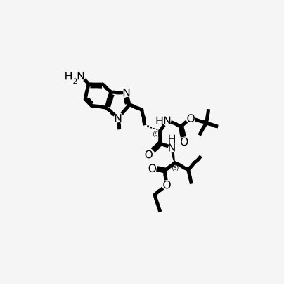 CCOC(=O)[C@@H](NC(=O)[C@H](CCc1nc2cc(N)ccc2n1C)NC(=O)OC(C)(C)C)C(C)C